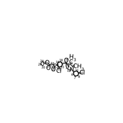 C[C@@H]1[C@@H](C)N(c2cccc(Cl)c2)CCN1C(=O)c1ccc([S+]([O-])CC(=O)OC2CCC2)c(Cl)c1